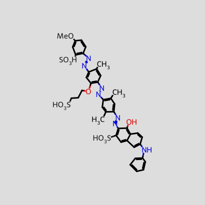 COc1ccc(N=Nc2cc(OCCCS(=O)(=O)O)c(N=Nc3cc(C)c(N=Nc4c(S(=O)(=O)O)cc5cc(Nc6ccccc6)ccc5c4O)cc3C)cc2C)c(S(=O)(=O)O)c1